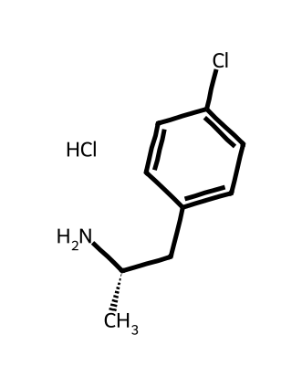 C[C@H](N)Cc1ccc(Cl)cc1.Cl